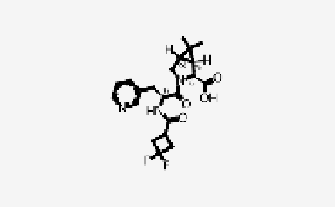 CC1(C)[C@@H]2[C@@H](C(=O)O)N(C(=O)[C@H](Cc3cccnc3)NC(=O)C3CC(F)(F)C3)C[C@@H]21